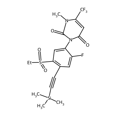 CCS(=O)(=O)c1cc(-n2c(=O)cc(C(F)(F)F)n(C)c2=O)c(F)cc1C#C[Si](C)(C)C